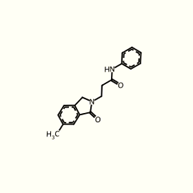 Cc1ccc2c(c1)C(=O)N(CCC(=O)Nc1ccccc1)C2